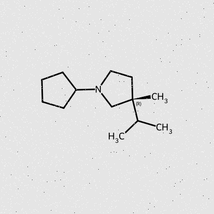 CC(C)[C@@]1(C)CCN(C2CCCC2)C1